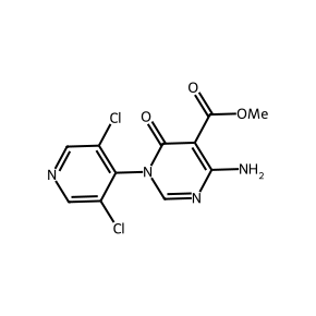 COC(=O)c1c(N)ncn(-c2c(Cl)cncc2Cl)c1=O